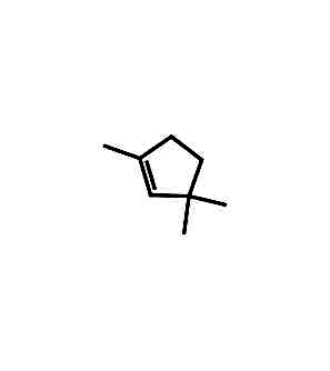 CC1=CC(C)(C)CC1